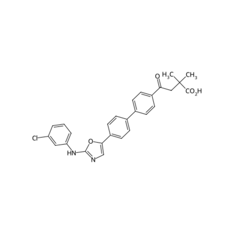 CC(C)(CC(=O)c1ccc(-c2ccc(-c3cnc(Nc4cccc(Cl)c4)o3)cc2)cc1)C(=O)O